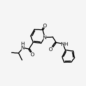 CC(C)NC(=O)c1ccc(=O)n(CC(=O)Nc2ccccc2)c1